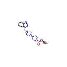 CC(C)(C)OC(=O)N1CCC(N2CCN(Cc3ccnc4ccccc34)CC2)CC1